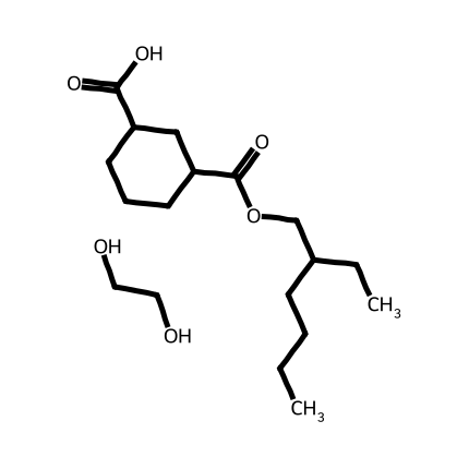 CCCCC(CC)COC(=O)C1CCCC(C(=O)O)C1.OCCO